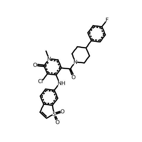 Cn1cc(C(=O)N2CCC(c3ccc(F)cc3)CC2)c(Nc2ccc3c(c2)S(=O)(=O)C=C3)c(Cl)c1=O